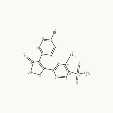 CCc1ccc(C2=C(c3ccc(S(C)(=O)=O)c(C)c3)COC2=O)cc1